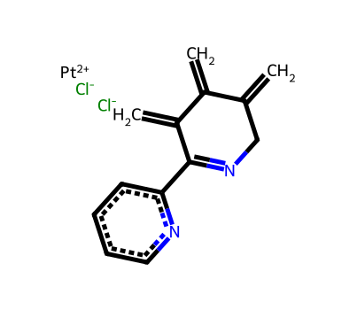 C=C1CN=C(c2ccccn2)C(=C)C1=C.[Cl-].[Cl-].[Pt+2]